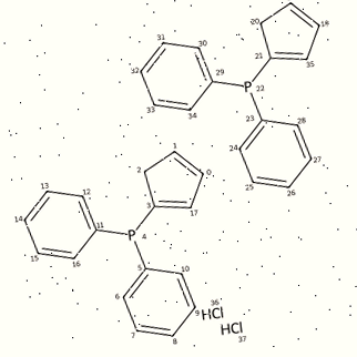 C1=CCC(P(c2ccccc2)c2ccccc2)=C1.C1=CCC(P(c2ccccc2)c2ccccc2)=C1.Cl.Cl